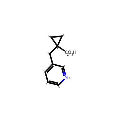 O=C(O)C1(Cc2cccnc2)CC1